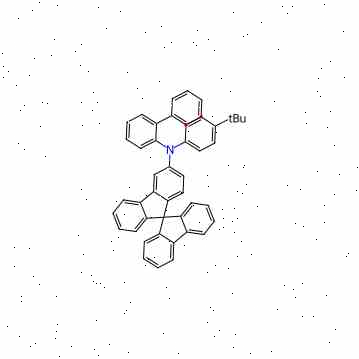 CC(C)(C)c1ccc(N(c2ccc3c(c2)-c2ccccc2C32c3ccccc3-c3ccccc32)c2ccccc2-c2ccccc2)cc1